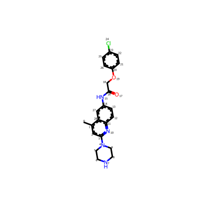 Cc1cc(N2CCNCC2)nc2ccc(NC(=O)COc3ccc(Cl)cc3)cc12